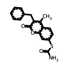 Cc1c(Cc2ccccc2)c(=O)oc2cc(SC(N)=O)ccc12